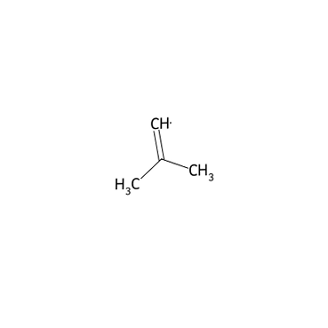 [CH]=C(C)C